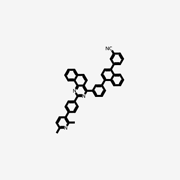 Cc1ccc(-c2ccc(-c3nc(-c4cccc(-c5ccc(-c6cccc(C#N)c6)c6ccccc56)c4)c4ccc5ccccc5c4n3)cc2)c(C)n1